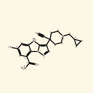 N#CC1(c2cnn3c2[nH]c2cc(F)cc(C(N)=O)c23)CCN(CC2CC2)CC1